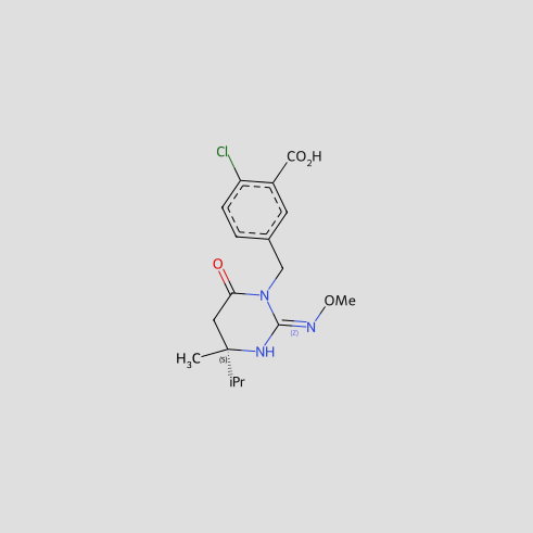 CO/N=C1/N[C@](C)(C(C)C)CC(=O)N1Cc1ccc(Cl)c(C(=O)O)c1